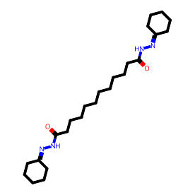 O=C(CCCCCCCCCCC(=O)NN=C1CCCCC1)NN=C1CCCCC1